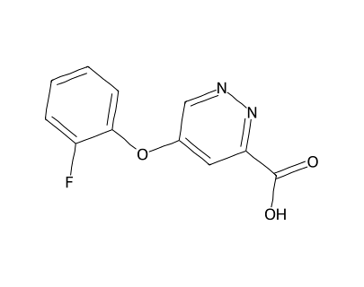 O=C(O)c1cc(Oc2ccccc2F)cnn1